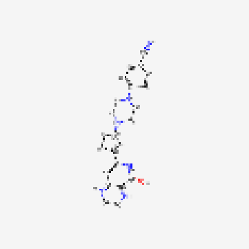 N#Cc1ccc(N2CCN([C@H]3C=C(c4cc5nccnc5c(=O)[nH]4)CC3)CC2)cc1